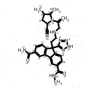 C=C(CNCCC1(c2nn[nH]n2)c2ccc(C(N)=O)cc2-c2cc(C(=O)NC)ccc21)N1C(C#N)CC(C)C1C